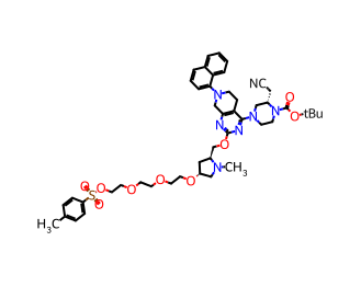 Cc1ccc(S(=O)(=O)OCCOCCOCCO[C@@H]2C[C@@H](COc3nc4c(c(N5CCN(C(=O)OC(C)(C)C)[C@@H](CC#N)C5)n3)CCN(c3cccc5ccccc35)C4)N(C)C2)cc1